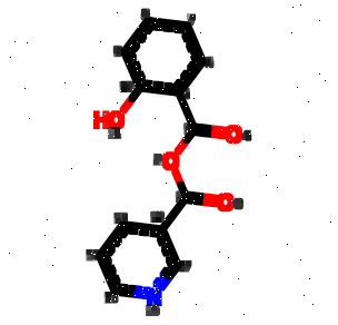 O=C(OC(=O)c1ccccc1O)c1cccnc1